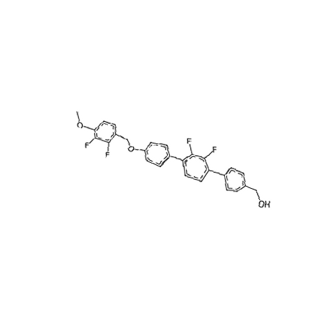 COc1ccc(COc2ccc(-c3ccc(-c4ccc(CO)cc4)c(F)c3F)cc2)c(F)c1F